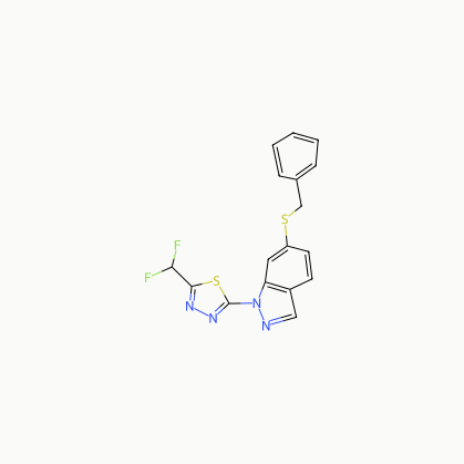 FC(F)c1nnc(-n2ncc3ccc(SCc4ccccc4)cc32)s1